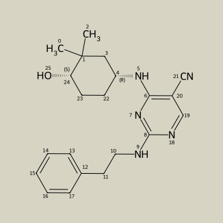 CC1(C)C[C@H](Nc2nc(NCCc3ccccc3)ncc2C#N)CC[C@@H]1O